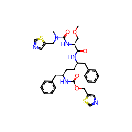 COC[C@H](NC(=O)N(C)Cc1cncs1)C(=O)N[C@H](CC[C@H](Cc1ccccc1)NC(=O)OCc1cncs1)Cc1ccccc1